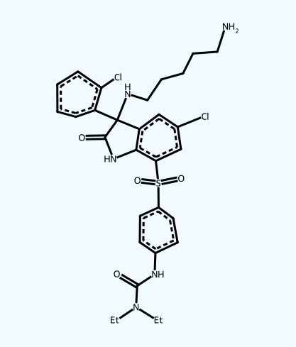 CCN(CC)C(=O)Nc1ccc(S(=O)(=O)c2cc(Cl)cc3c2NC(=O)C3(NCCCCCN)c2ccccc2Cl)cc1